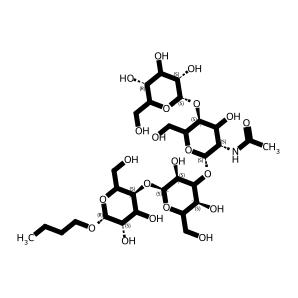 CCCCO[C@@H]1OC(CO)[C@@H](O[C@@H]2OC(CO)[C@H](O)C(O[C@@H]3OC(CO)[C@@H](O[C@@H]4OC(CO)[C@H](O)C(O)[C@@H]4O)C(O)[C@@H]3NC(C)=O)[C@@H]2O)C(O)[C@@H]1O